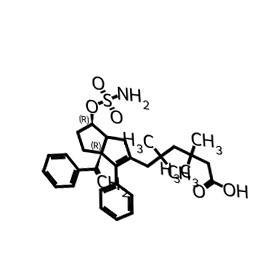 C=C(c1ccccc1)[C@@]12CC[C@@H](OS(N)(=O)=O)C1CC(CC(C)(C)CC(C)(C)CC(=O)O)=C2c1ccccc1